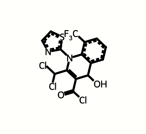 O=C(Cl)C1=C(C(Cl)Cl)N(c2nccs2)c2c(cccc2C(F)(F)F)C1O